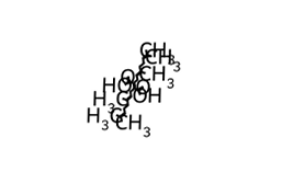 CC(C)=CCC/C(C)=C/C/C(C(=O)O)=C(/C/C=C(\C)CCC=C(C)C)C(=O)O